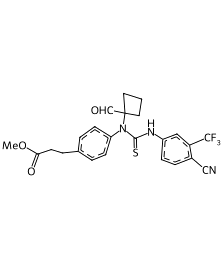 COC(=O)CCc1ccc(N(C(=S)Nc2ccc(C#N)c(C(F)(F)F)c2)C2(C=O)CCC2)cc1